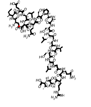 CC[C@H](C)[C@H](NC(=O)[C@@H](N)CC(=O)O)C(=O)N[C@@H](CCC(=O)O)C(=O)N[C@@H](CC(C)C)C(=O)N[C@H](C(=O)N[C@@H](CCC(N)=O)C(=O)N[C@@H](CO)C(=O)N1CCC[C@H]1C(=O)N[C@@H](C)C(=O)N[C@@H](CO)C(=O)N[C@@H](CC(C)C)C(=O)N[C@@H](C)C(=O)N[C@H](C(=O)N[C@@H](CO)C(=O)N[C@@H](CC(C)C)C(=O)NCC(=O)N[C@@H](CCC(N)=O)C(=O)N[C@@H](CCCNC(=N)N)C(=O)N[C@@H](C)C(=O)N[C@H](C(=O)O)[C@@H](C)O)C(C)C)[C@@H](C)O